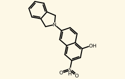 O=[SH](=O)c1cc(O)c2ccc(N3Cc4ccccc4C3)cc2c1